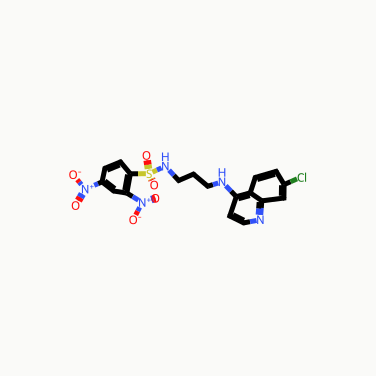 O=[N+]([O-])c1ccc(S(=O)(=O)NCCCNc2ccnc3cc(Cl)ccc23)c([N+](=O)[O-])c1